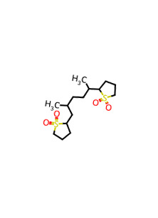 CC(CCC(C)C1CCCS1(=O)=O)CC1CCCS1(=O)=O